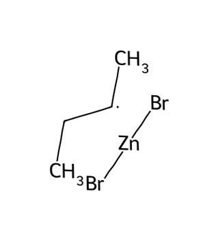 C[CH]CC.[Br][Zn][Br]